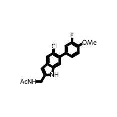 COc1ccc(-c2cc3[nH]c(CNC(C)=O)cc3cc2Cl)cc1F